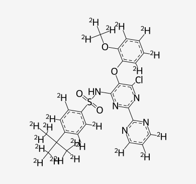 [2H]c1nc(-c2nc(Cl)c(Oc3c([2H])c([2H])c([2H])c([2H])c3OC([2H])([2H])[2H])c(NS(=O)(=O)c3c([2H])c([2H])c(C(C([2H])([2H])[2H])(C([2H])([2H])[2H])C([2H])([2H])[2H])c([2H])c3[2H])n2)nc([2H])c1[2H]